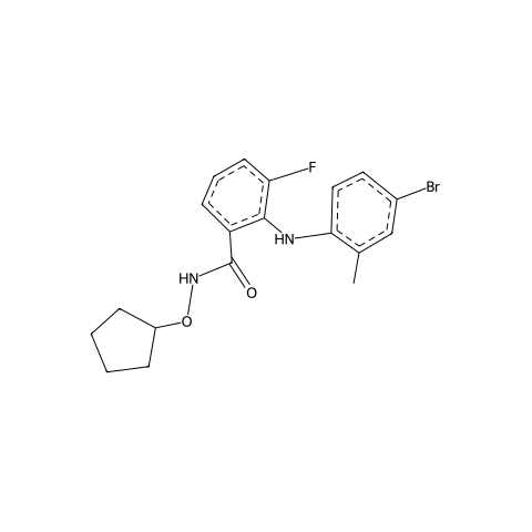 Cc1cc(Br)ccc1Nc1c(F)cccc1C(=O)NOC1CCCC1